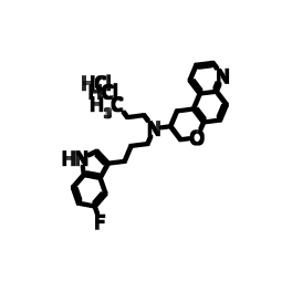 CCCN(CCCc1c[nH]c2ccc(F)cc12)C1COc2ccc3ncccc3c2C1.Cl.Cl